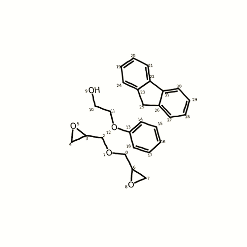 C(OCC1CO1)C1CO1.OCCOc1ccccc1.c1ccc2c(c1)Cc1ccccc1-2